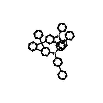 c1ccc(-c2ccc(N(c3ccc(-c4ccccc4)cc3)c3ccc4c(c3)C(c3ccccc3)(c3ccc5c(c3)c3cccnc3n5-c3ccccc3)c3ccccc3-4)cc2)cc1